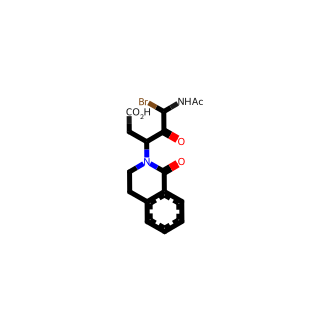 CC(=O)NC(Br)C(=O)C(CC(=O)O)N1CCc2ccccc2C1=O